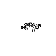 CN(C)c1cccc(-c2nc3ccc(N4CCCC(C(=O)N5CCCC5)C4)nc3[nH]2)n1